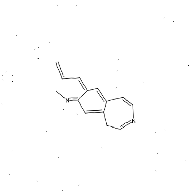 C=C/C=C1/C=C2C=CN=CCC2=C/C1=N/C